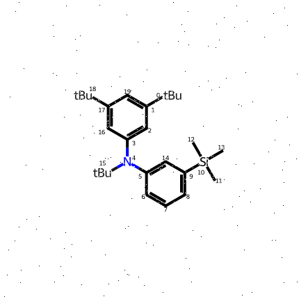 CC(C)(C)c1cc(N(c2cccc([Si](C)(C)C)c2)C(C)(C)C)cc(C(C)(C)C)c1